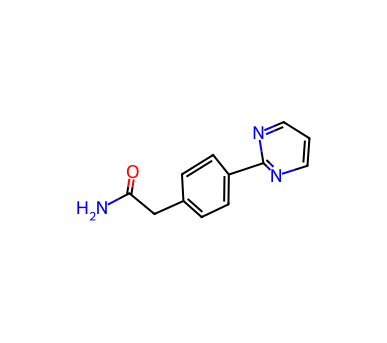 NC(=O)Cc1ccc(-c2ncccn2)cc1